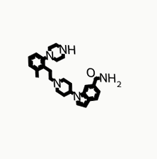 Cc1cccc(N2CCNCC2)c1CCN1CCC(n2ccc3ccc(C(N)=O)cc32)CC1